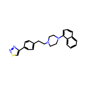 c1ccc2c(N3CCN(CCc4ccc(-c5csnn5)cc4)CC3)cccc2c1